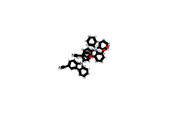 N#Cc1ccc2c(c1)c1ccccc1n2-c1cc(-c2cccc(C#N)c2[Si](c2ccccc2)(c2ccccc2)c2ccccc2)ccc1C#N